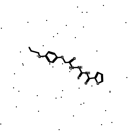 CCCOc1ccc(OCC(=O)NNC(=S)NC(=O)c2ccco2)cc1